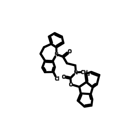 CN(CCC(=O)N1c2ccccc2CCc2ccc(Cl)cc21)C(=O)OC1c2ccccc2-c2ccccc21